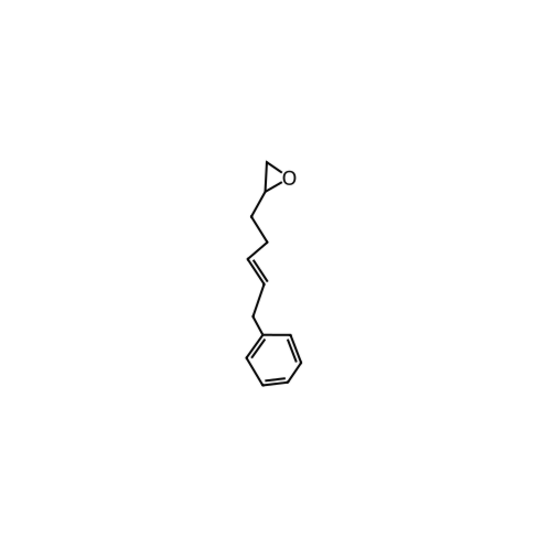 C(=C\Cc1ccccc1)/CCC1CO1